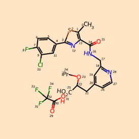 Cc1sc(-c2ccc(F)c(Cl)c2)nc1C(=O)NCc1cc(CC(OC(C)C)C(=O)O)ccn1.O=C(O)C(F)(F)F